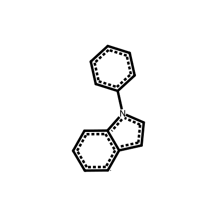 [c]1cccc2c1ccn2-c1ccccc1